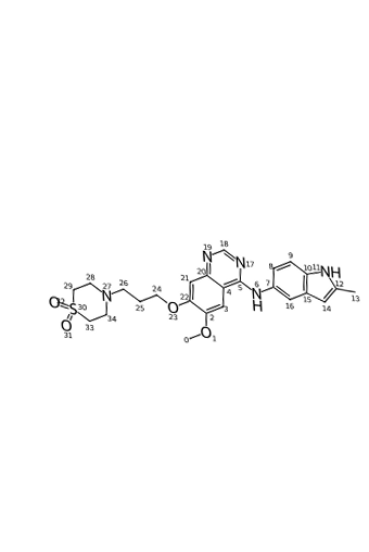 COc1cc2c(Nc3ccc4[nH]c(C)cc4c3)ncnc2cc1OCCCN1CCS(=O)(=O)CC1